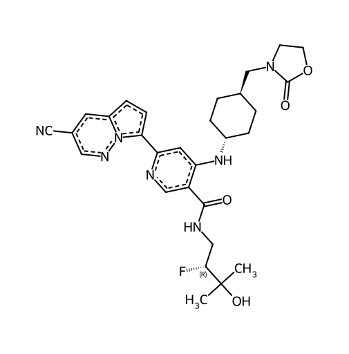 CC(C)(O)[C@H](F)CNC(=O)c1cnc(-c2ccc3cc(C#N)cnn23)cc1N[C@H]1CC[C@H](CN2CCOC2=O)CC1